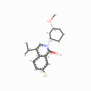 CO[C@@H]1CCC[C@H](n2cc(C(C)C)c3ccc(F)cc3c2=O)C1